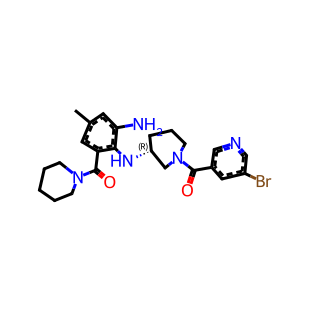 Cc1cc(N)c(N[C@@H]2CCCN(C(=O)c3cncc(Br)c3)C2)c(C(=O)N2CCCCC2)c1